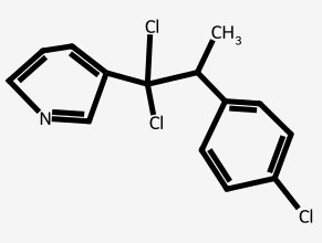 CC(c1ccc(Cl)cc1)C(Cl)(Cl)c1cccnc1